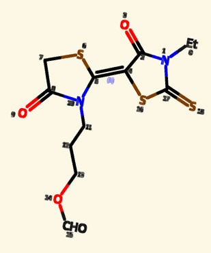 CCN1C(=O)/C(=C2\SCC(=O)N2CCCOC=O)SC1=S